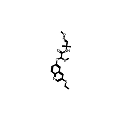 CCSc1cnc2ccc(OC(SC)C(=O)NC(C)(C)C=NOC)cc2c1